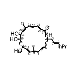 CCC/C=C/CC1C/C=C/C=C(C)/C=C/C(O)CC(O)C(O)\C=C(C)/C=C/C=C/C(=O)N1